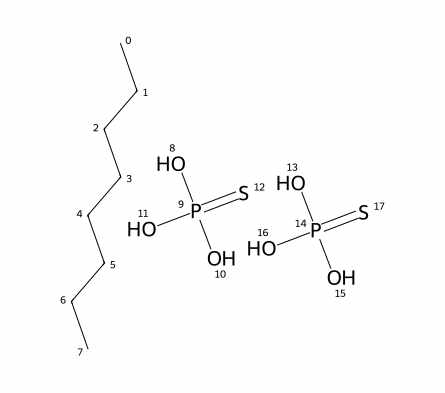 CCCCCCCC.OP(O)(O)=S.OP(O)(O)=S